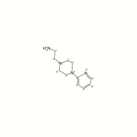 NCCN1CCN(c2ccccn2)CC1